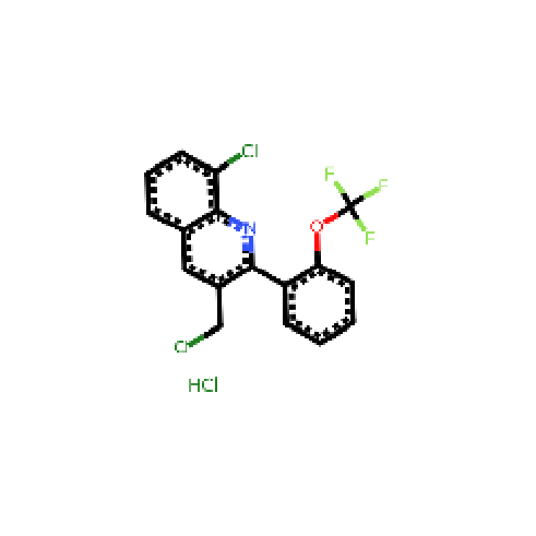 Cl.FC(F)(F)Oc1ccccc1-c1nc2c(Cl)cccc2cc1CCl